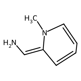 CN1C=CC=CC1=CN